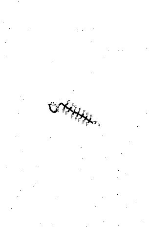 FC(F)(F)C(F)(F)C(F)(F)C(F)(F)C(F)(F)C(F)(F)C(F)(F)C(F)(F)C[SiH]1CCCCO1